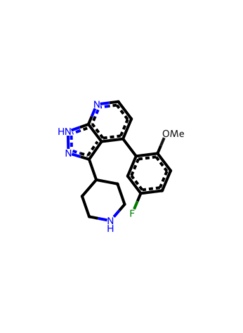 COc1ccc(F)cc1-c1ccnc2[nH]nc(C3CCNCC3)c12